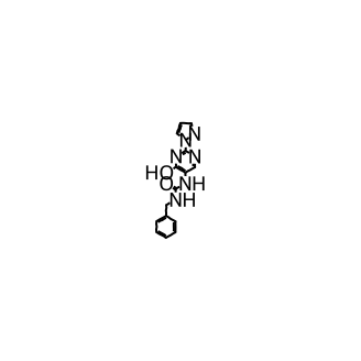 O=C(NCc1ccccc1)Nc1cnc(-n2cccn2)nc1O